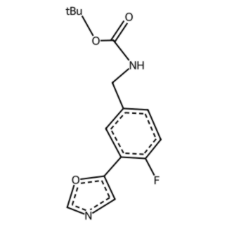 CC(C)(C)OC(=O)NCc1ccc(F)c(-c2cnco2)c1